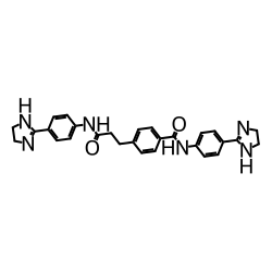 O=C(CCc1ccc(C(=O)Nc2ccc(C3=NCCN3)cc2)cc1)Nc1ccc(C2=NCCN2)cc1